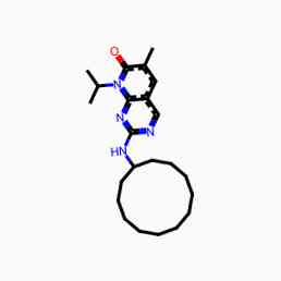 Cc1cc2cnc(NC3CCCCCCCCCCC3)nc2n(C(C)C)c1=O